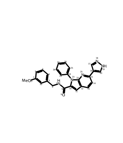 COc1cccc(CNC(=O)c2cc3ccc(-c4cn[nH]c4)nc3n2-c2ccccc2)c1